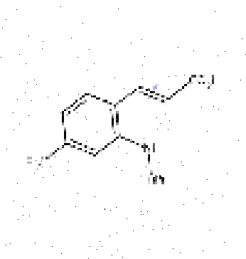 CCCNc1cc(C(F)(F)F)ccc1/C=C/C(=O)O